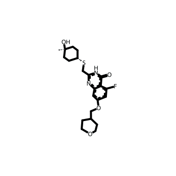 C[C@]1(O)CC[C@H](SCc2nc3cc(OCC4CCOCC4)cc(F)c3c(=O)[nH]2)CC1